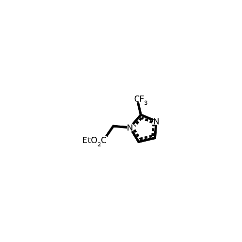 CCOC(=O)Cn1ccnc1C(F)(F)F